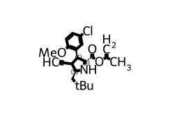 C#CC1[C@H](CC(C)(C)C)N[C@@H](C(=O)OC(=C)C)[C@@H]1c1cc(Cl)ccc1OC